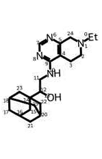 CCN1CCc2c(ncnc2NCC(O)C23CC4CC(CC(C4)C2)C3)C1